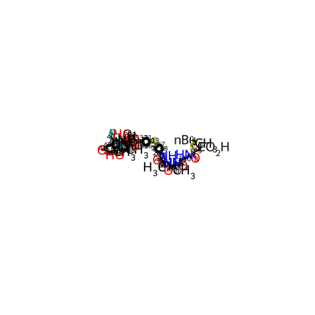 CCCCC(C)SC(CC(=O)O)C(=O)NCCC(=O)N[C@@H](C)C(=O)N[C@@H](C)C(=O)Nc1ccc(Sc2ccc([C@@H]3O[C@@H]4C[C@H]5[C@@H]6C[C@H](CF)C7=CC(=O)C=C[C@]7(C)[C@@]6(F)[C@@H](O)C[C@]5(C)[C@]4(C(=O)CO)O3)cc2)cc1